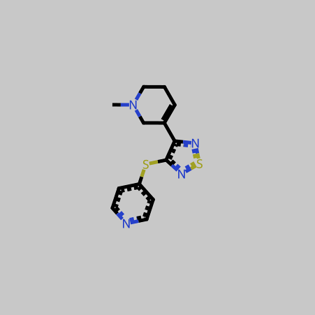 CN1CCC=C(c2nsnc2Sc2ccncc2)C1